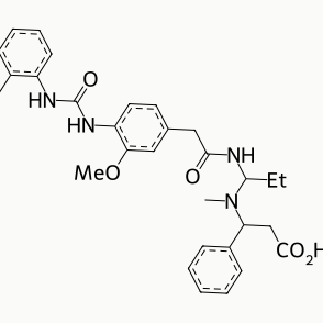 CCC(NC(=O)Cc1ccc(NC(=O)Nc2ccccc2C)c(OC)c1)N(C)C(CC(=O)O)c1ccccc1